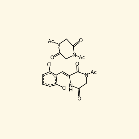 CC(=O)N1CC(=O)N(C(C)=O)CC1=O.CC(=O)N1CC(=O)NC(=Cc2c(Cl)cccc2Cl)C1=O